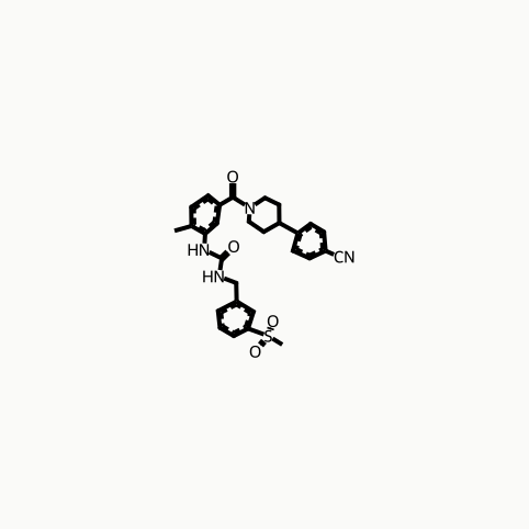 Cc1ccc(C(=O)N2CCC(c3ccc(C#N)cc3)CC2)cc1NC(=O)NCc1cccc(S(C)(=O)=O)c1